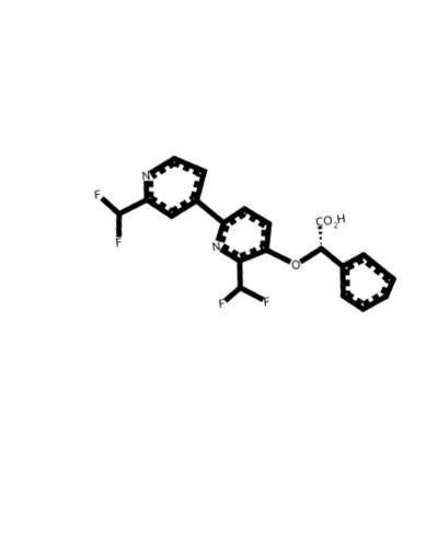 O=C(O)[C@@H](Oc1ccc(-c2ccnc(C(F)F)c2)nc1C(F)F)c1ccccc1